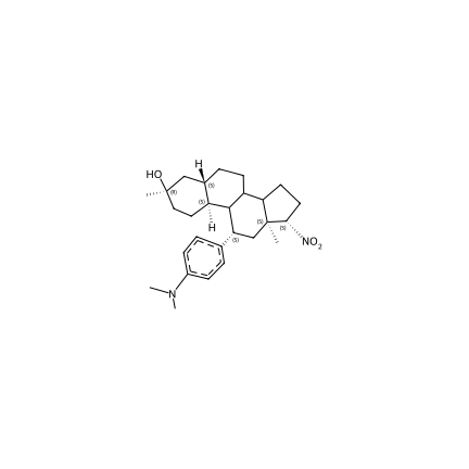 CN(C)c1ccc([C@H]2C[C@@]3(C)C(CC[C@@H]3[N+](=O)[O-])C3CC[C@H]4C[C@](C)(O)CC[C@@H]4C32)cc1